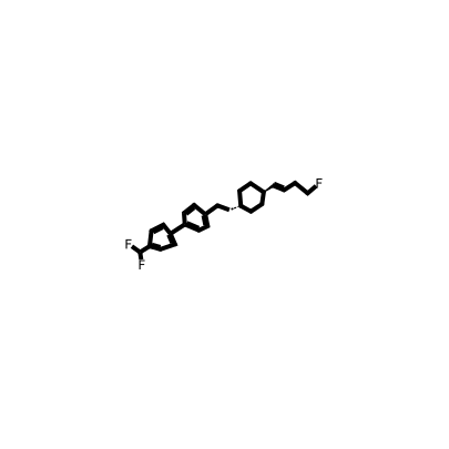 FCCC=C[C@H]1CC[C@H](CCc2ccc(-c3ccc(C(F)F)cc3)cc2)CC1